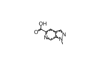 Cn1ncc2cc(C(=O)O)ncc21